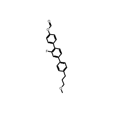 COCCCc1ccc(-c2ccc(-c3ccc(OC=O)cc3)c(F)c2)cc1